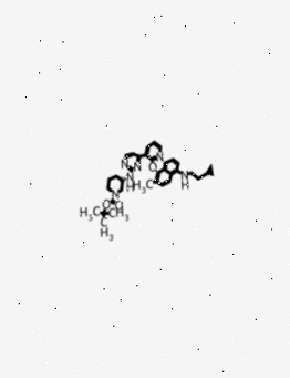 Cc1ccc2c(NCCC3CC3)cccc2c1Oc1ncccc1-c1ccnc(N[C@H]2CCCN(C(=O)OC(C)(C)C)C2)n1